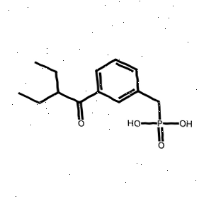 CCC(CC)C(=O)c1cccc(CP(=O)(O)O)c1